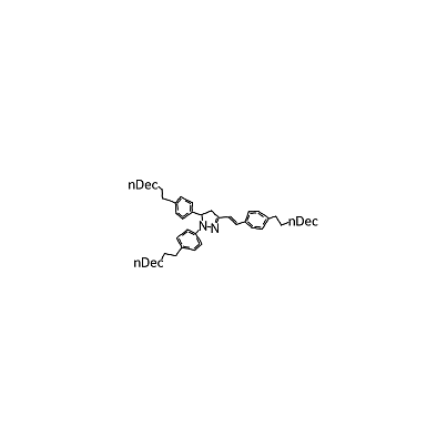 CCCCCCCCCCCCc1ccc(C=CC2=NN(c3ccc(CCCCCCCCCCCC)cc3)C(c3ccc(CCCCCCCCCCCC)cc3)C2)cc1